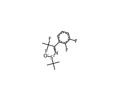 CC(F)(F)C(=N[S+]([O-])C(C)(C)C)c1cccc(F)c1F